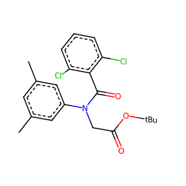 Cc1cc(C)cc(N(CC(=O)OC(C)(C)C)C(=O)c2c(Cl)cccc2Cl)c1